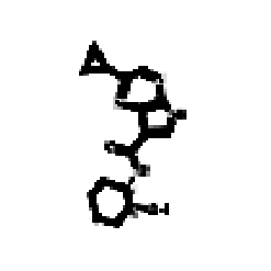 O=C(N[C@H]1CCOC[C@@H]1O)c1c[nH]c2ncc(C3CC3)nc12